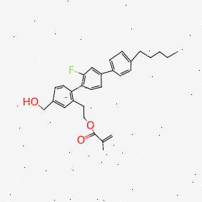 C=C(C)C(=O)OCCc1cc(CO)ccc1-c1ccc(-c2ccc(CCCCC)cc2)cc1F